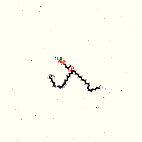 CCCCC/C=C\C/C=C\CCCCCCCCC1(CCCCCCCC/C=C\C/C=C\CCCCC)OCC(CCOS(C)(=O)=O)O1